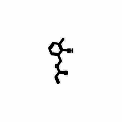 C=CC(=O)OCc1cccc(C)c1S